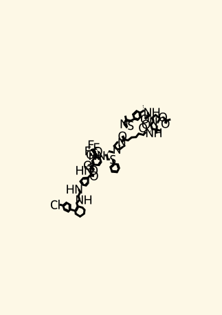 CC(=O)O[C@@H]1C[C@@H](C(=O)N[C@@H](C)c2ccc(-c3scnc3C)cc2)N(C(=O)[C@@H](NC(=O)CCCCCC(=O)N2CCN(CC[C@H](CSc3ccccc3)Nc3ccc(S(=O)(=O)NC(=O)c4ccc(NCCNCC5=C(c6ccc(Cl)cc6)CCCCC5)cc4)cc3S(=O)(=O)C(F)(F)F)CC2)C(C)(C)C)C1